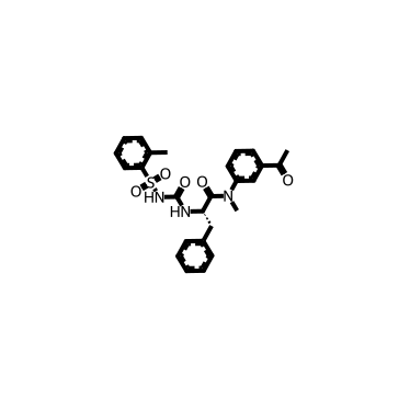 CC(=O)c1cccc(N(C)C(=O)[C@H](Cc2ccccc2)NC(=O)NS(=O)(=O)c2ccccc2C)c1